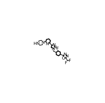 Fc1cc(-c2nnc(C(F)F)o2)ccc1Cn1cc(-c2cccc(N3CCNCC3)n2)nn1